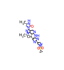 CC1CN(c2nn(C(C)C)c3cc(Nc4ccnc(-c5cnn(S(=O)(=O)C6CC6)c5)n4)ncc23)C(=O)N1